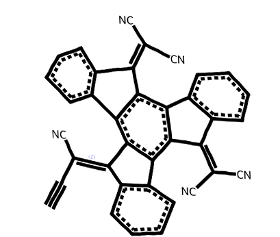 C#C/C(C#N)=C1\c2ccccc2-c2c3c(c4c(c21)-c1ccccc1C4=C(C#N)C#N)-c1ccccc1C3=C(C#N)C#N